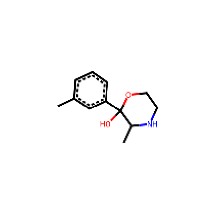 Cc1cccc(C2(O)OCCNC2C)c1